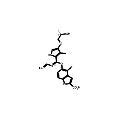 Cc1c(OC[C@H](C)O)c[nH]c1/C(=N\C=N)Oc1ccc2[nH]c(C(=O)O)cc2c1F